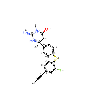 CC#Cc1cc(F)c2sc3ccc([C@]4(C)CC(=O)N(C)C(=N)N4)cc3c2c1